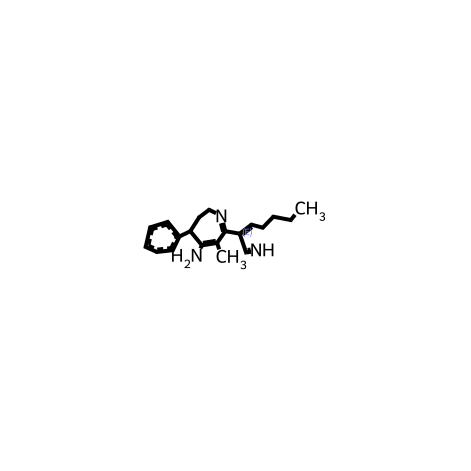 CCCC/C=C(\C=N)C1=NCCC(c2ccccc2)C(N)=C1C